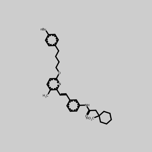 CCCCc1ccc(CCCCOc2ccc(C)c(C=Cc3cccc(NC(=O)CC4(C(=O)O)CCCCC4)c3)n2)cc1